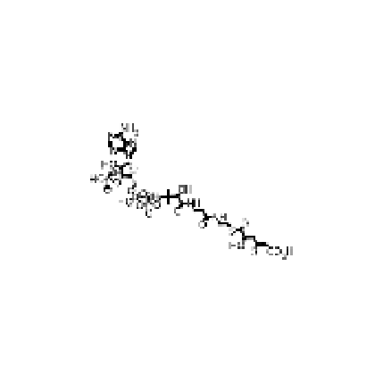 CC(C)(COP(=O)(O)OP(=O)(O)OC[C@H]1O[C@@H](n2cnc3c(N)ncnc32)[C@H](O)[C@@H]1OP(=O)(O)O)C(O)C(=O)NCCC(=O)NCCSC(=O)C(O)CC(=O)CC(=O)O